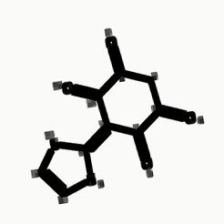 O=C1CC(=O)C(=O)C(=C2SC=CS2)C1=O